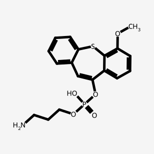 COc1cccc2c1Sc1ccccc1C=C2OP(=O)(O)OCCCN